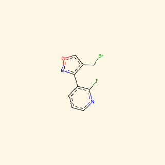 Fc1ncccc1-c1nocc1CBr